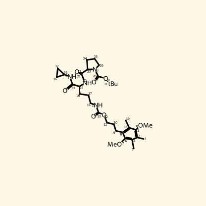 COc1c(C)c(C)c(OC)c(CCCOC(=O)NCCC[C@H](NC(=O)C2CCCN2C(=O)OC(C)(C)C)C(=O)NC2CC2)c1C